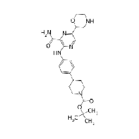 CC(C)(C)OC(=O)N1CCC(c2ccc(Nc3ncc(C4CNCCO4)nc3C(N)=O)cc2)CC1